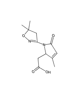 CC1=CC(=O)N(C2=NOC(C)(C)C2)C1CC(=O)O